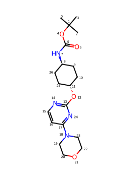 CC(C)(C)OC(=O)N[C@H]1CC[C@H](Oc2nccc(N3CCOCC3)n2)CC1